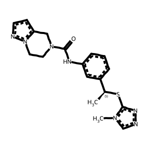 C[C@H](Sc1nncn1C)c1cccc(NC(=O)N2CCn3nccc3C2)c1